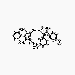 Cc1cccc(C)c1-c1cc2nc(n1)NS(=O)(=O)c1cccc(c1)C(Cc1ncc(OC(C)C)cn1)[C@H](CC(C)(C)C)CC2